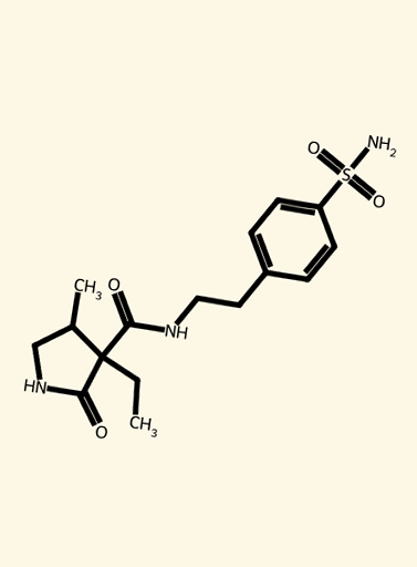 CCC1(C(=O)NCCc2ccc(S(N)(=O)=O)cc2)C(=O)NCC1C